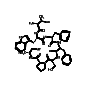 CC(C)C[C@H](NC(=O)[C@@H]1CCCN1C(=O)[C@H](CO)NC(=O)[C@H](Cc1ccccc1)NC(=O)[C@H](Cc1ccccc1)NC(=O)[C@H](Cc1c[nH]c2ccccc12)NC(=O)[C@@H](N)[C@@H](C)O)C(=O)O